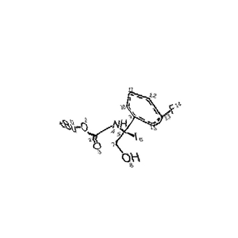 CC(C)(C)OC(=O)N[C@@](I)(CO)c1cccc(F)c1